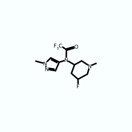 CN1CC(F)CC(N(C(=O)C(F)(F)F)c2cnn(C)c2)C1